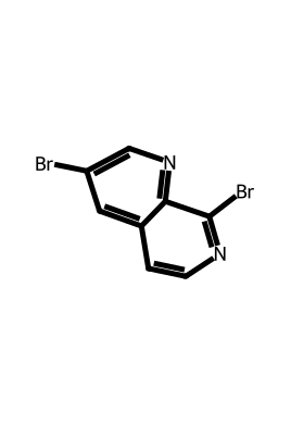 Brc1cnc2c(Br)nccc2c1